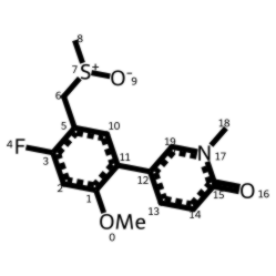 COc1cc(F)c(C[S+](C)[O-])cc1-c1ccc(=O)n(C)c1